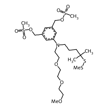 COCCOCCOCCN(CCCC(C)(C)SSC)c1cc(COS(C)(=O)=O)cc(COS(C)(=O)=O)c1